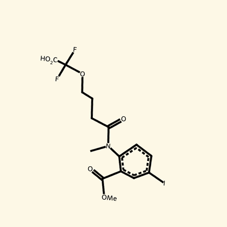 COC(=O)c1cc(I)ccc1N(C)C(=O)CCCOC(F)(F)C(=O)O